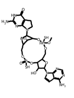 CO[PH]1(S)OCC2OC(n3ccc4c(N)ncnc43)C(O)C2OP(=O)(S)OCC2OC(N3CCc4c3nc(N)[nH]c4=O)C(O1)C2O